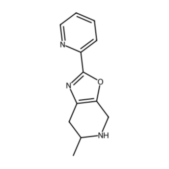 CC1Cc2nc(-c3ccccn3)oc2CN1